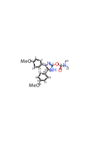 COc1ccc(-c2nc(OC(=O)N(C)C)[nH]c2-c2ccc(OC)cc2)cc1